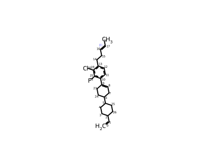 C=CC1CCC(C2CC=C(c3ccc(CC/C=C/C)c(Cl)c3F)CC2)CC1